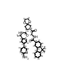 C[C@@H](NC(=O)[C@@H]1CC2(CN1C(=O)CNC(=O)c1ccc3c(c1)-c1ccccc1C3(F)F)OCCO2)c1cc(-c2cnc(N)nc2)cs1